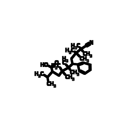 CC(C)C(CC(C)(C)C(C)(C)C(CC(C)(C)C(C)(C)C#N)c1ccccc1)C(=O)O